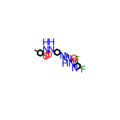 COc1ccc(C)cc1NC(=O)Nc1ccc(N2CCN(C(=O)Nc3ncc(F)cc3F)CC2)cc1